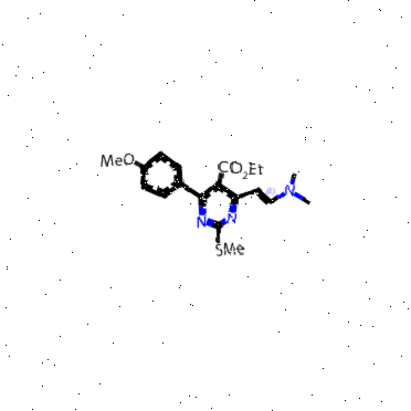 CCOC(=O)c1c(/C=C/N(C)C)nc(SC)nc1-c1ccc(OC)cc1